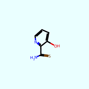 NC(=S)c1ncccc1O